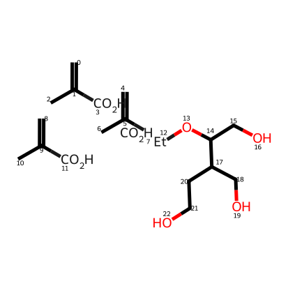 C=C(C)C(=O)O.C=C(C)C(=O)O.C=C(C)C(=O)O.CCOC(CO)C(CO)CCO